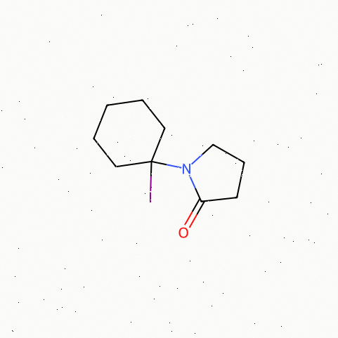 O=C1CCCN1C1(I)CCCCC1